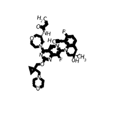 C#Cc1c(F)ccc2c1N(c1ncc3c(N4CCOC[C@H](NC(=O)C=C)C4)nc(OCC4(CN5CCOCC5)CC4)nc3c1F)C[C@](C)(O)C2